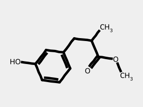 COC(=O)C(C)Cc1cccc(O)c1